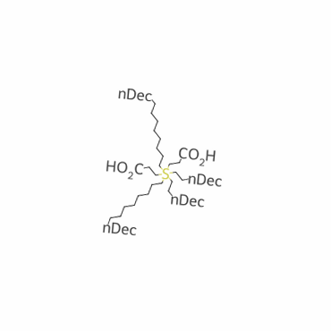 CCCCCCCCCCCCCCCCCCS(CCCCCCCCCCCC)(CCCCCCCCCCCC)(CCCCCCCCCCCCCCCCCC)(CCC(=O)O)CCC(=O)O